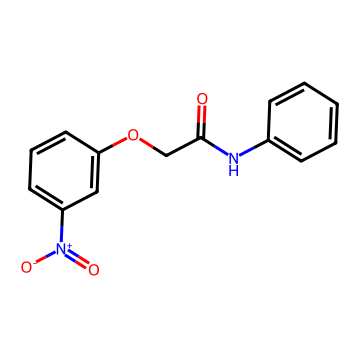 O=C(COc1cccc([N+](=O)[O-])c1)Nc1ccccc1